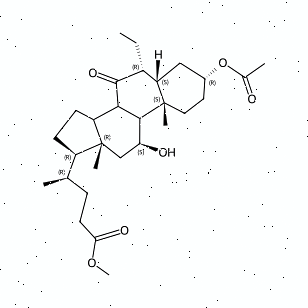 CC[C@H]1C(=O)C2C3CC[C@H]([C@H](C)CCC(=O)OC)[C@@]3(C)C[C@H](O)C2[C@@]2(C)CC[C@@H](OC(C)=O)C[C@@H]12